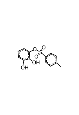 Cc1ccc(S(=O)(=O)Oc2cccc(O)c2O)cc1